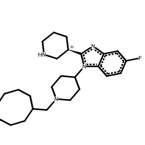 Fc1ccc2c(c1)nc([C@@H]1CCCNC1)n2C1CCN(CC2CCCCCCC2)CC1